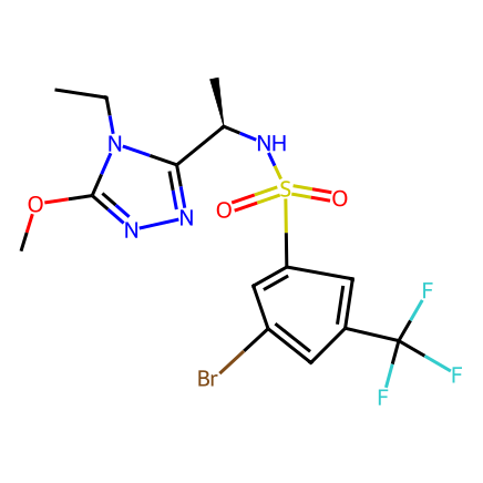 CCn1c(OC)nnc1[C@@H](C)NS(=O)(=O)c1cc(Br)cc(C(F)(F)F)c1